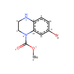 CC(C)(C)OC(=O)N1CCNc2ccc(Br)cc21